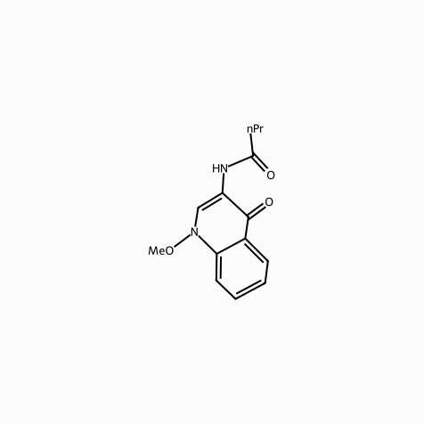 CCCC(=O)Nc1cn(OC)c2ccccc2c1=O